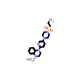 O=C(O)N1CCN(c2ccc(N3CCN(S(=O)(=O)CCC(F)(F)F)CC3)cn2)c2ccccc21